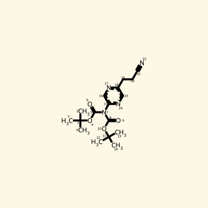 CC(C)(C)OC(=O)N(C(=O)OC(C)(C)C)c1cnc(CCC#N)cn1